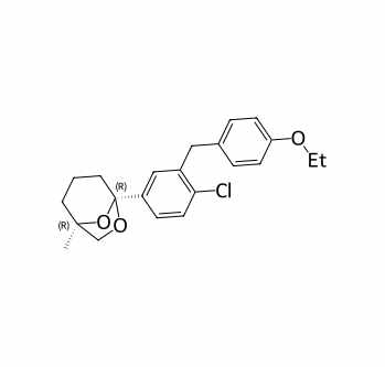 CCOc1ccc(Cc2cc([C@]34CCC[C@](C)(CO3)O4)ccc2Cl)cc1